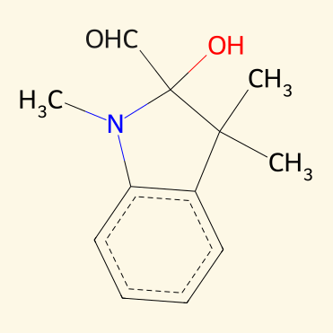 CN1c2ccccc2C(C)(C)C1(O)C=O